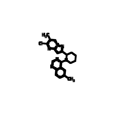 Cc1ccc2ncnc(N3CCCCC3c3cc4nc(Cl)c(C)cn4n3)c2c1